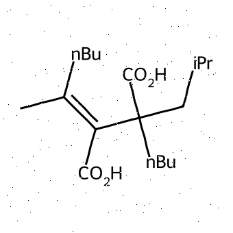 CCCCC(C)=C(C(=O)O)C(CCCC)(CC(C)C)C(=O)O